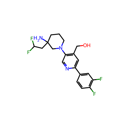 NC1(CC(F)F)CCCN(c2cnc(-c3ccc(F)c(F)c3)cc2CO)C1